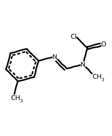 Cc1cccc(N=CN(C)C(=O)Cl)c1